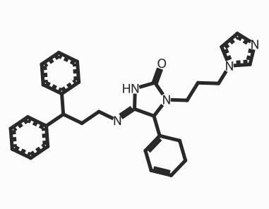 O=C1NC(=NCCC(c2ccccc2)c2ccccc2)C(C2=CC=CCC2)N1CCCn1ccnc1